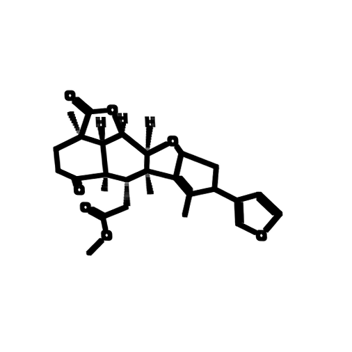 COC(=O)C[C@H]1[C@]2(C)C3=C(C)C(c4ccoc4)CC3O[C@@H]2[C@@H]2OC(=O)[C@]3(C)CCC(=O)[C@@]1(C)[C@@H]23